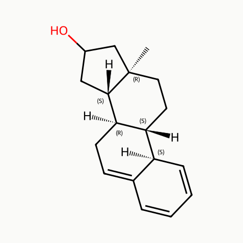 C[C@]12CC[C@H]3[C@@H](CC=C4C=CC=C[C@@H]43)[C@@H]1CC(O)C2